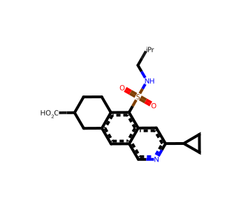 CC(C)CNS(=O)(=O)c1c2c(cc3cnc(C4CC4)cc13)CC(C(=O)O)CC2